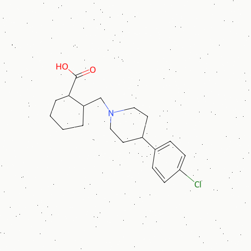 O=C(O)C1CCCCC1CN1CCC(c2ccc(Cl)cc2)CC1